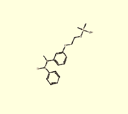 CN(B(Cl)c1ccccc1)c1cccc(OCCO[Si](C)(C)C(C)(C)C)c1